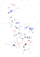 CCC1C[C@]1(NC(=O)[C@@H]1C[C@@H](Oc2cc(-c3csc(NC(C)C)n3)nc3c(Cl)c(OCCN4CCOCC4)ccc23)CN1C(=O)[C@@H](NC(=O)O[C@H]1C[C@@H](C)[C@@H](C)C1)C(C)(C)C)C(=O)O